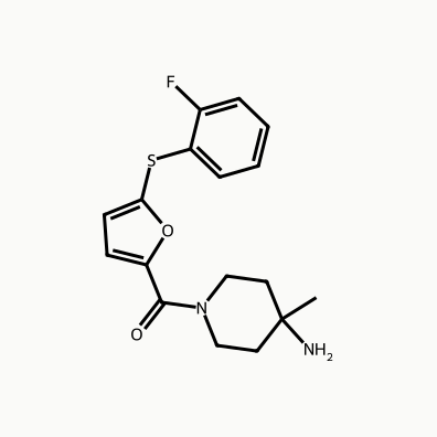 CC1(N)CCN(C(=O)c2ccc(Sc3ccccc3F)o2)CC1